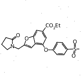 CCOC(=O)c1cc(Oc2ccc(S(C)(=O)=O)cc2)c2cc(CN3CCCC3=O)oc2c1